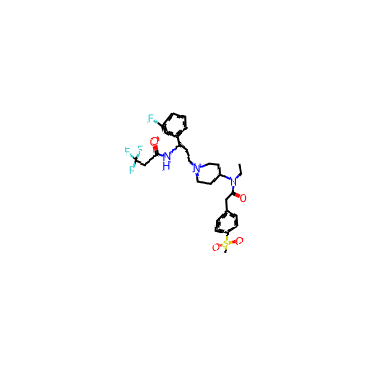 CCN(C(=O)Cc1ccc(S(C)(=O)=O)cc1)C1CCN(CCC(NC(=O)CC(F)(F)F)c2cccc(F)c2)CC1